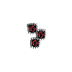 Fc1c(F)c(F)c([B-](c2c(F)c(F)c(F)c(F)c2F)(c2c(F)c(F)c(F)c(F)c2F)c2c(F)c(F)c(F)c(F)c2F)c(F)c1F.Fc1c(F)c(F)c([B-](c2c(F)c(F)c(F)c(F)c2F)(c2c(F)c(F)c(F)c(F)c2F)c2c(F)c(F)c(F)c(F)c2F)c(F)c1F.Fc1c(F)c(F)c([B-](c2c(F)c(F)c(F)c(F)c2F)(c2c(F)c(F)c(F)c(F)c2F)c2c(F)c(F)c(F)c(F)c2F)c(F)c1F.[Nh+3]